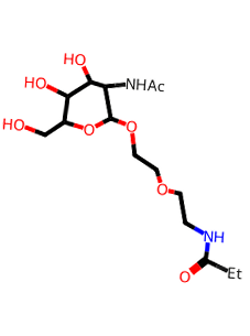 CCC(=O)NCCOCCOC1OC(CO)C(O)C(O)C1NC(C)=O